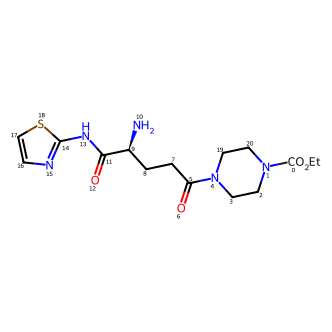 CCOC(=O)N1CCN(C(=O)CC[C@H](N)C(=O)Nc2nccs2)CC1